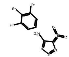 CC(C)c1cccc(C(C)C)c1C(C)C.O=[N+]([O-])C1=NN=NC1=S(=O)=O